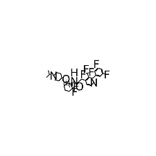 CC(C)N1CCC(O[C@H]2CCCC(F)(F)[C@@H]2NC(=O)Cc2ccnc(-c3cc(F)cc(F)c3)c2C(F)(F)F)CC1